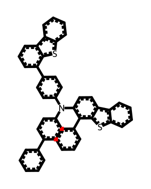 c1ccc(-c2ccc(N(c3ccc(-c4cccc5c4sc4ccccc45)cc3)c3ccc4c(sc5ccccc54)c3-c3ccccc3)cc2)cc1